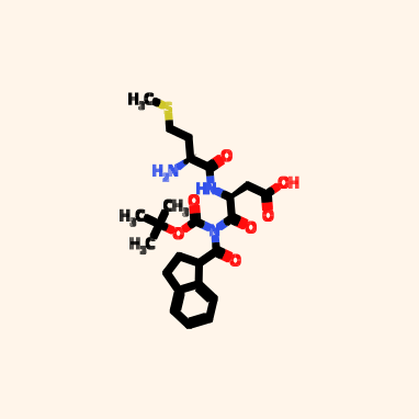 CSCC[C@H](N)C(=O)N[C@@H](CC(=O)O)C(=O)N(C(=O)OC(C)(C)C)C(=O)C1CCc2ccccc21